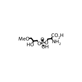 COCC(O)COP(=O)(O)OCC(N)C(=O)O